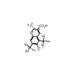 [2H]C([2H])([2H])c1cc2c(c(C([2H])([2H])[2H])c1Cl)C=C(C(=O)O)[C@@H](C(F)(F)F)O2